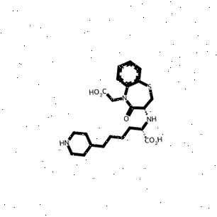 O=C(O)CN1C(=O)[C@@H](N[C@@H](CCCCC2CCNCC2)C(=O)O)CSc2ccccc21